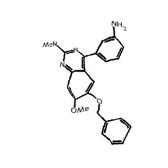 CNc1nc(-c2cccc(N)c2)c2cc(OCc3ccccc3)c(OC)cc2n1